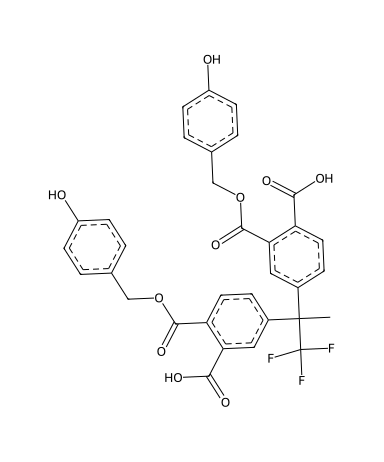 CC(c1ccc(C(=O)OCc2ccc(O)cc2)c(C(=O)O)c1)(c1ccc(C(=O)O)c(C(=O)OCc2ccc(O)cc2)c1)C(F)(F)F